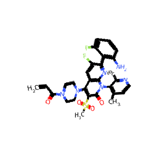 C=CC(=O)N1CCN(c2c(S(C)(=O)=O)c(=O)n(-c3c(C)ccnc3C(C)C)c3nc(-c4c(N)cccc4F)c(F)cc23)CC1